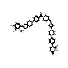 C[C@H]1CC2(CCN(c3ccc(C(=O)N4CCC(CN5CC(N6CCN(c7ccc(N8CCC(=O)NC8=O)cc7)CC6)C5)CC4)cc3)CC2)CN1c1ccc(C#N)c(Cl)c1